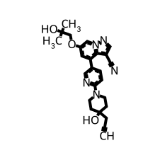 C#CCC1(O)CCN(c2ccc(-c3cc(OCC(C)(C)O)cn4ncc(C#N)c34)cn2)CC1